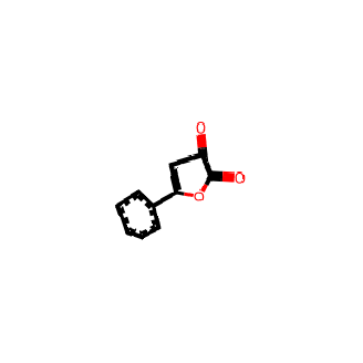 O=C1C=C(c2ccccc2)OC1=O